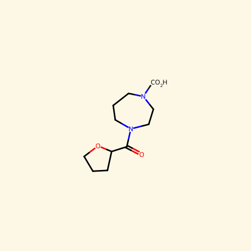 O=C(O)N1CCCN(C(=O)C2CCCO2)CC1